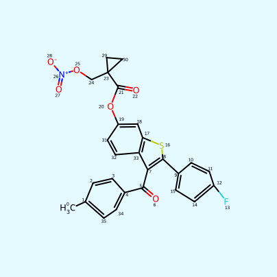 Cc1ccc(C(=O)c2c(-c3ccc(F)cc3)sc3cc(OC(=O)C4(CO[N+](=O)[O-])CC4)ccc23)cc1